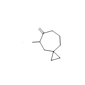 O=C(O)C1CC2(CCCC1=O)CC2